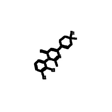 CCC1(C)CC=C(c2cc(=O)n(-c3cccc(Cl)c3Cl)c(C)n2)CC1